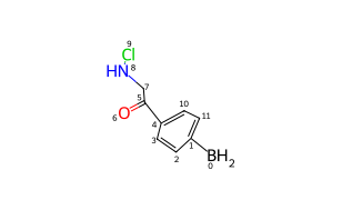 Bc1ccc(C(=O)CNCl)cc1